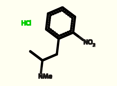 CNC(C)Cc1ccccc1[N+](=O)[O-].Cl